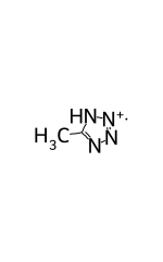 CC1=NN=[N+]N1